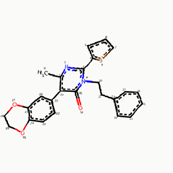 Cc1nc(-c2cccs2)n(CCc2ccccc2)c(=O)c1-c1ccc2c(c1)OCCO2